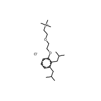 CC(C)Cc1cccc(OCCOCC[N+](C)(C)C)c1CC(C)C.[Cl-]